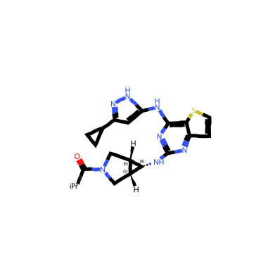 CC(C)C(=O)N1C[C@@H]2[C@H](C1)[C@@H]2Nc1nc(Nc2cc(C3CC3)n[nH]2)c2sccc2n1